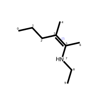 CCC/C(C)=C(/C)NCC